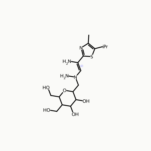 Cc1nc(/C(N)=C/N(N)CC2OC(CO)C(CO)C(O)C2O)sc1C(C)C